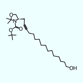 CC(C)(C)OC(=O)N1[C@H](CC#CCCCCCCCCCCCCCO)COC1(C)C